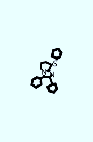 c1ccc(SC2CCCN3C2=NC(c2ccccc2)C3c2ccccc2)cc1